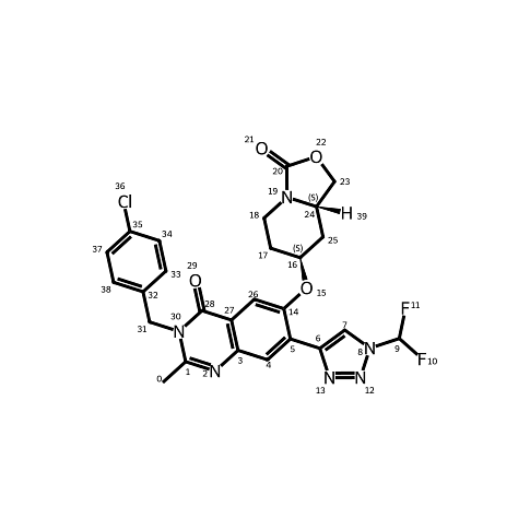 Cc1nc2cc(-c3cn(C(F)F)nn3)c(O[C@H]3CCN4C(=O)OC[C@@H]4C3)cc2c(=O)n1Cc1ccc(Cl)cc1